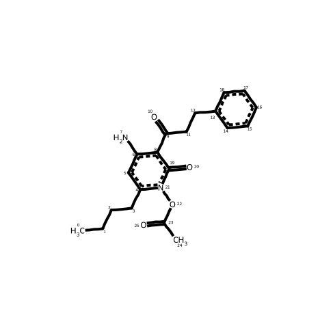 CCCCc1cc(N)c(C(=O)CCc2ccccc2)c(=O)n1OC(C)=O